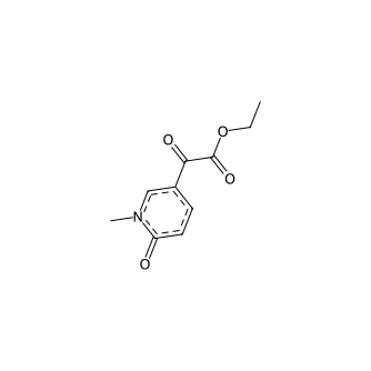 CCOC(=O)C(=O)c1ccc(=O)n(C)c1